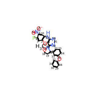 COc1cc(F)c([N+](=O)[O-])cc1Nc1cc(N2OCC[C@@H]2c2cccc(Oc3ccccc3)c2)ncn1